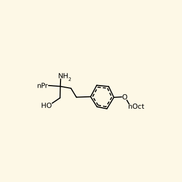 CCCCCCCCOc1ccc(CCC(N)(CO)CCC)cc1